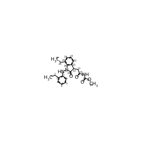 CCc1ccccc1NN1C(=O)C(CC(=O)NC(=O)OC)c2cccc(CC)c21